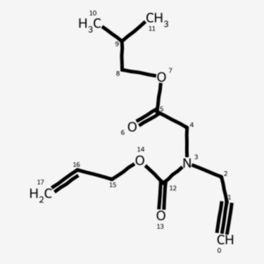 C#CCN(CC(=O)OCC(C)C)C(=O)OCC=C